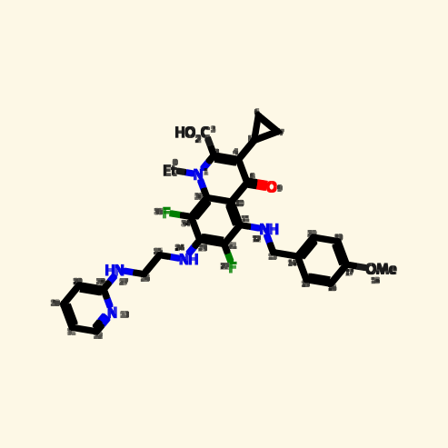 CCn1c(C(=O)O)c(C2CC2)c(=O)c2c(NCc3ccc(OC)cc3)c(F)c(NCCNc3ccccn3)c(F)c21